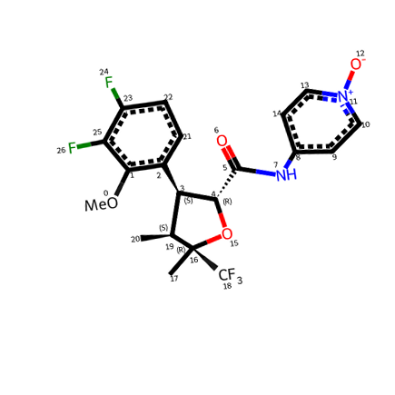 COc1c([C@H]2[C@H](C(=O)Nc3cc[n+]([O-])cc3)O[C@@](C)(C(F)(F)F)[C@H]2C)ccc(F)c1F